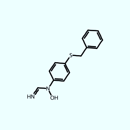 N=CN(O)c1ccc(SCc2ccccc2)cc1